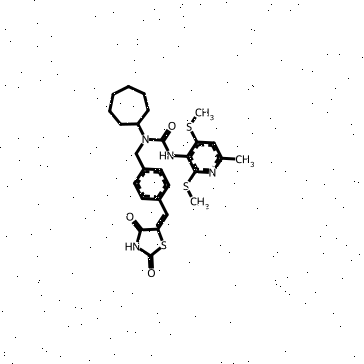 CSc1cc(C)nc(SC)c1NC(=O)N(Cc1ccc(C=C2SC(=O)NC2=O)cc1)C1CCCCCC1